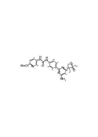 COc1ccc(NC(=O)Nc2ccc(-c3nc(N)cc(C(C)(C)S(C)(=O)=O)n3)cc2)cn1